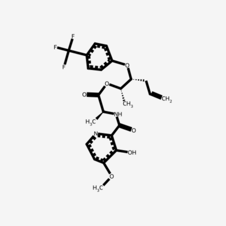 C=CC[C@@H](Oc1ccc(C(F)(F)F)cc1)[C@H](C)OC(=O)[C@H](C)NC(=O)c1nccc(OC)c1O